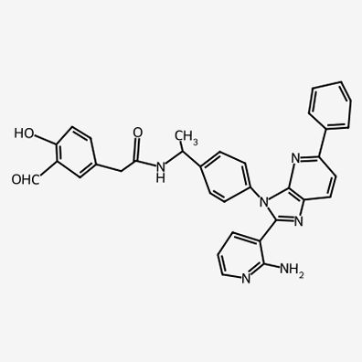 CC(NC(=O)Cc1ccc(O)c(C=O)c1)c1ccc(-n2c(-c3cccnc3N)nc3ccc(-c4ccccc4)nc32)cc1